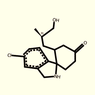 C[C@@H](CO)CC1CC(=O)CCC12NCc1cc(Cl)ccc12